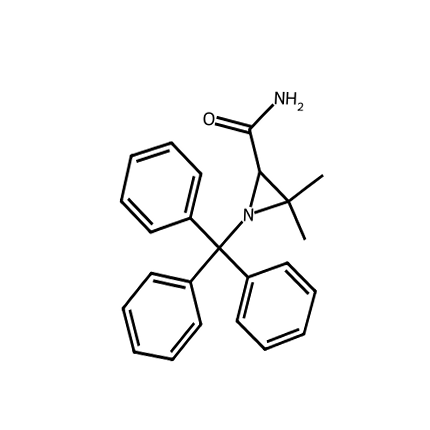 CC1(C)C(C(N)=O)N1C(c1ccccc1)(c1ccccc1)c1ccccc1